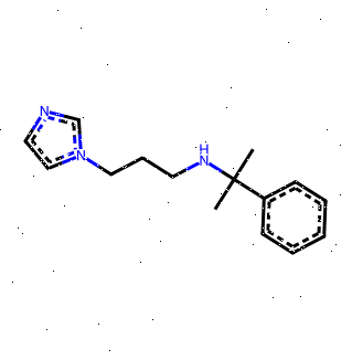 CC(C)(NCCCn1ccnc1)c1ccccc1